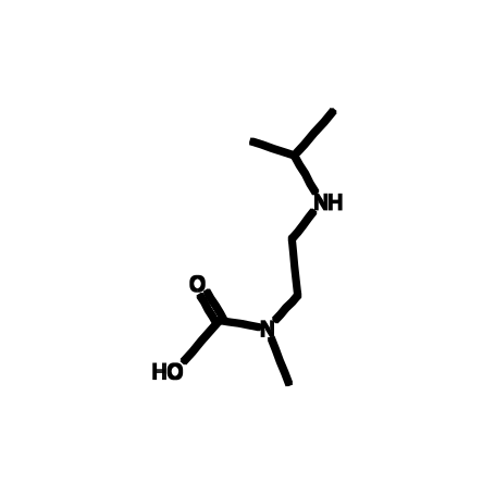 CC(C)NCCN(C)C(=O)O